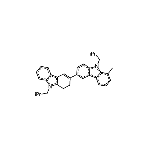 Cc1cccc2c3cc(C4=Cc5c(n(CC(C)C)c6ccccc56)CC4)ccc3n(CC(C)C)c12